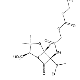 CCN(C)[C@]1(NC(=O)COC(=O)OCC(Cl)(Cl)Cl)C(=O)N2[C@@H](C(=O)O)C(C)(C)S[C@@H]21